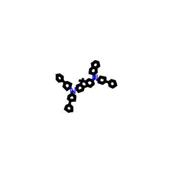 CC1(C)c2cc(N(c3ccc(-c4ccccc4)cc3)c3ccc(-c4ccccc4)cc3)ccc2-c2ccc(N(c3ccc(-c4ccccc4)cc3)c3ccc4ccccc4c3)cc21